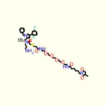 CC1CC(=O)N(CCCCCC(=O)NCCOCCOCCOCCOCCNC(=O)CCSCC(=O)N(CCCN)[C@@H](c2cc(-c3cc(F)ccc3F)cn2Cc2ccccc2)C(C)(C)C)C1=O